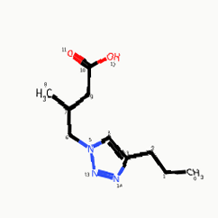 CCCc1cn(CC(C)CC(=O)O)nn1